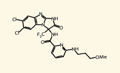 COCCCNc1cccc(C(=O)NC2(C(F)(F)F)C(=O)Nc3nc4cc(Cl)c(Cl)cc4n32)n1